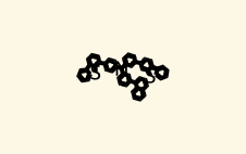 c1cc(-c2ccc3c(c2)sc2ccccc23)cc(N(c2ccc(-c3cccc4c3sc3ccccc34)cc2)c2cccc(-c3cccc4ccccc34)c2)c1